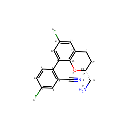 N#Cc1cc(F)ccc1-c1cc(F)cc2c1O[C@@H](CN)CC2